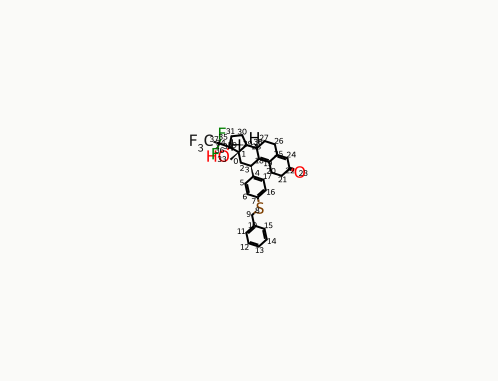 C[C@]12C[C@H](c3ccc(SCc4ccccc4)cc3)C3=C4CCC(=O)C=C4CC[C@H]3[C@@H]1CC[C@@]2(O)C(F)(F)C(F)(F)F